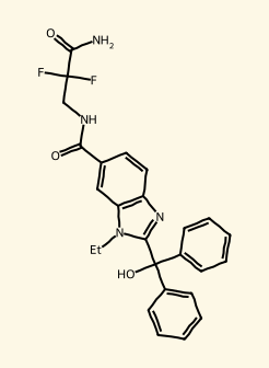 CCn1c(C(O)(c2ccccc2)c2ccccc2)nc2ccc(C(=O)NCC(F)(F)C(N)=O)cc21